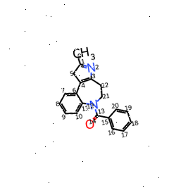 CC1=NC2=C(C1)c1ccccc1N(C(=O)c1ccccc1)CC2